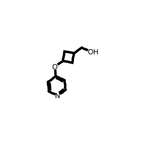 OCC1CC(Oc2ccncc2)C1